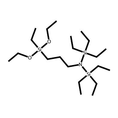 CCO[Si](CC)(CCCN([Si](CC)(CC)CC)[Si](CC)(CC)CC)OCC